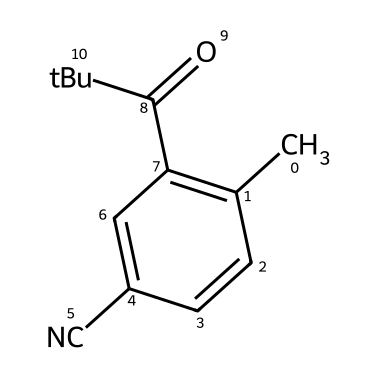 Cc1ccc(C#N)cc1C(=O)C(C)(C)C